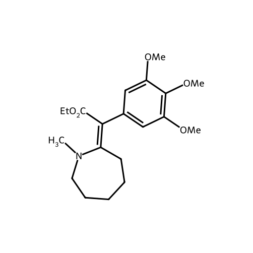 CCOC(=O)/C(=C1/CCCCCN1C)c1cc(OC)c(OC)c(OC)c1